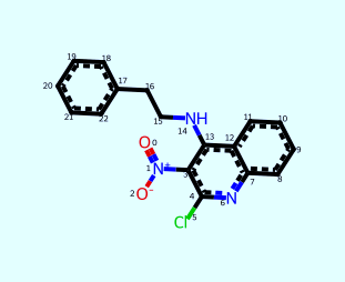 O=[N+]([O-])c1c(Cl)nc2ccccc2c1NCCc1ccccc1